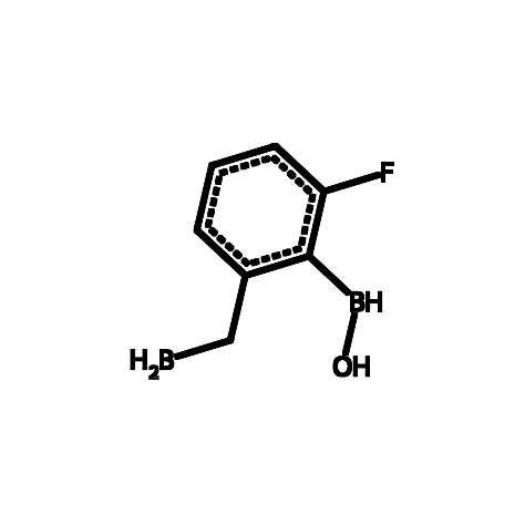 BCc1cccc(F)c1BO